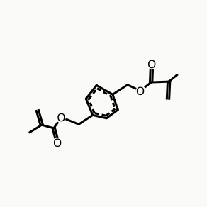 C=C(C)C(=O)OCc1ccc(COC(=O)C(=C)C)cc1